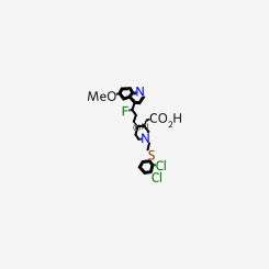 COc1ccc2nccc(C(F)CC[C@@H]3CCN(CCSc4cccc(Cl)c4Cl)C[C@@H]3CC(=O)O)c2c1